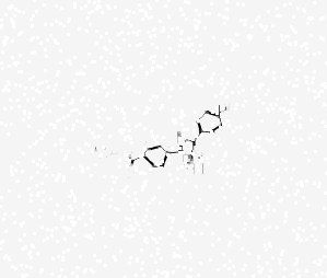 COC(=O)c1ccc(-c2nc(-c3ccc(Br)cc3)nn2C)cc1